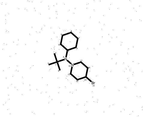 CC(C)(C)N(C1CCCCC1)N1CCC(Br)CC1